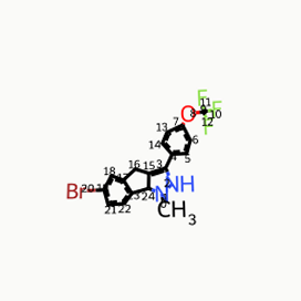 CN1NC(c2ccc(OC(F)(F)F)cc2)=C2Cc3cc(Br)ccc3C21